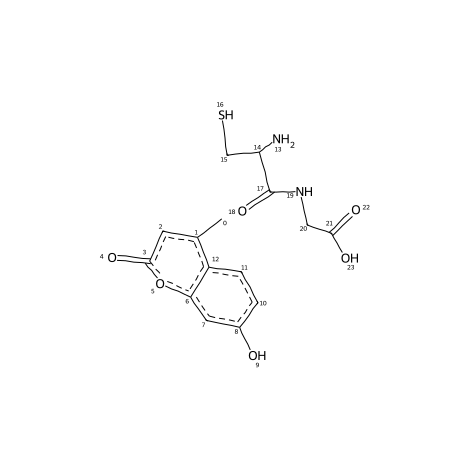 Cc1cc(=O)oc2cc(O)ccc12.NC(CS)C(=O)NCC(=O)O